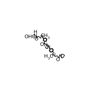 CN(CCC(=O)N1CCCCC1)Cc1ccc(N2CCN(C(=O)c3cccc(N(C)CCC(=O)NC=O)c3)CC2)cc1